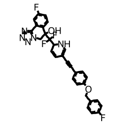 OC1(C(F)(F)C2C=CC(C#Cc3ccc(OCc4ccc(F)cc4)cc3)=CN2)Cn2nnnc2-c2cc(F)ccc21